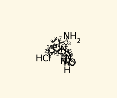 Cl.NC1CCC1c1ccccc1-c1nc2ccn3c(=O)[nH]nc3c2cc1-c1ccccc1